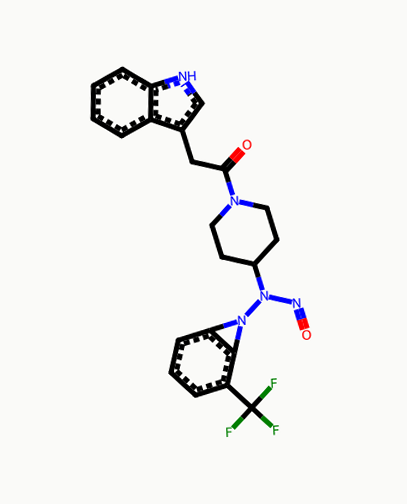 O=NN(C1CCN(C(=O)Cc2c[nH]c3ccccc23)CC1)N1c2cccc(C(F)(F)F)c21